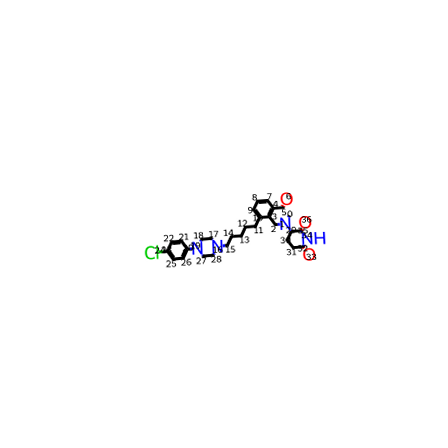 CN(Cc1c(C=O)cccc1CCCCCN1CCN(c2ccc(Cl)cc2)CC1)C1CCC(=O)NC1=O